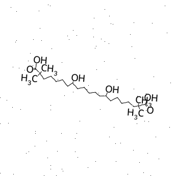 CC(C)(CCCCCC(O)CCCCCC(O)CCCCCC(C)(C)C(=O)O)C(=O)O